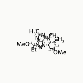 CCC(COC)n1nnc2c(N(C)c3ccc(OC)cc3C)nc(C)nc21